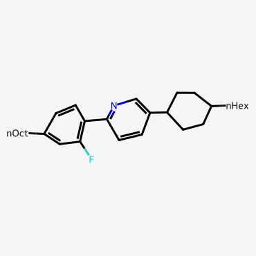 CCCCCCCCc1ccc(-c2ccc(C3CCC(CCCCCC)CC3)cn2)c(F)c1